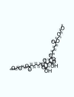 COCCOCCOC(=O)CCCCCOC(=O)CC(C(=O)O)C(CC(=O)O)C(=O)OCCCCCC(=O)OCCOCCOC